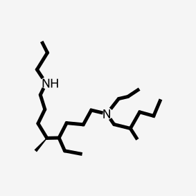 CCCNCCC[C@H](C)C(CC)CCCN(CCC)CC(C)CCC